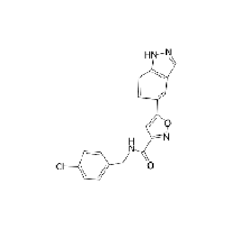 O=C(NCc1ccc(Cl)cc1)c1cc(-c2ccc3[nH]ncc3c2)on1